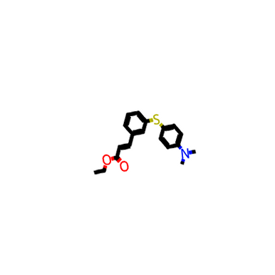 CCOC(=O)C=Cc1cccc(Sc2ccc(N(C)C)cc2)c1